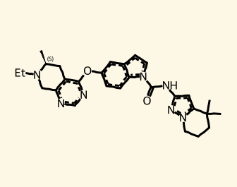 CCN1Cc2ncnc(Oc3ccc4c(ccn4C(=O)Nc4cc5n(n4)CCCC5(C)C)c3)c2C[C@@H]1C